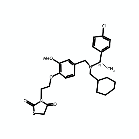 COc1cc(CN(CC2CCCCC2)[C@@H](C)c2ccc(Cl)cc2)ccc1OCCN1C(=O)CSC1=O